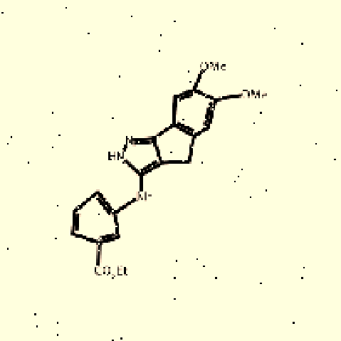 CCOC(=O)c1cccc(Nc2[nH]nc3c2Cc2cc(OC)c(OC)cc2-3)c1